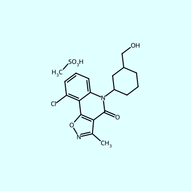 CS(=O)(=O)O.Cc1noc2c1c(=O)n(C1CCCC(CO)C1)c1cccc(Cl)c21